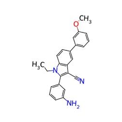 CCn1c(-c2cccc(N)c2)c(C#N)c2cc(-c3cccc(OC)c3)ccc21